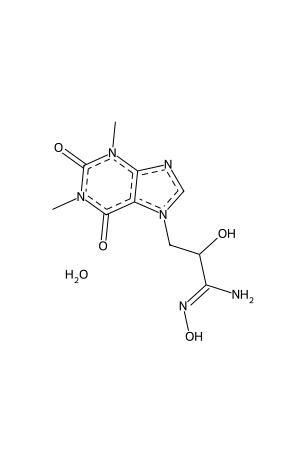 Cn1c(=O)c2c(ncn2CC(O)C(N)=NO)n(C)c1=O.O